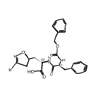 O=C(N[C@@H](Cc1ccccc1)C(=O)N[C@@H](CC1CC(Br)=NO1)C(=O)O)OCc1ccccc1